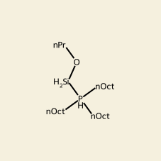 CCCCCCCC[PH](CCCCCCCC)(CCCCCCCC)[SiH2]OCCC